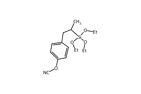 CCO[Si](OCC)(OCC)C(C)Cc1ccc(OC#N)cc1